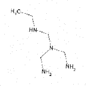 CCNCN(CN)CN